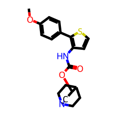 COc1ccc(-c2sccc2NC(=O)OC2CN3CCC2CC3)cc1